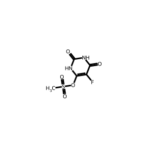 CS(=O)(=O)Oc1[nH]c(=O)[nH]c(=O)c1F